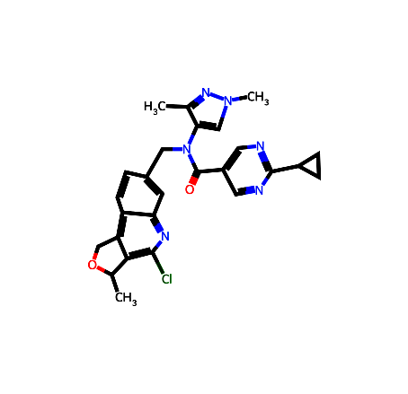 Cc1nn(C)cc1N(Cc1ccc2c3c(c(Cl)nc2c1)C(C)OC3)C(=O)c1cnc(C2CC2)nc1